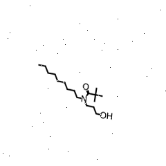 CCCCCCCCCN(CCCO)C(=O)C(C)(C)C